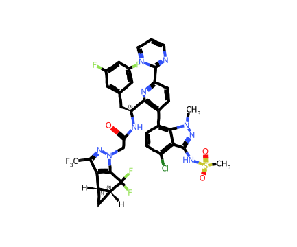 Cn1nc(NS(C)(=O)=O)c2c(Cl)ccc(-c3ccc(-c4ncccn4)nc3[C@H](Cc3cc(F)cc(F)c3)NC(=O)Cn3nc(C(F)(F)F)c4c3C(F)(F)[C@@H]3C[C@H]43)c21